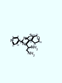 NCC(N)c1nc(-c2ccncc2)nc2sc3c(c12)CCOC3